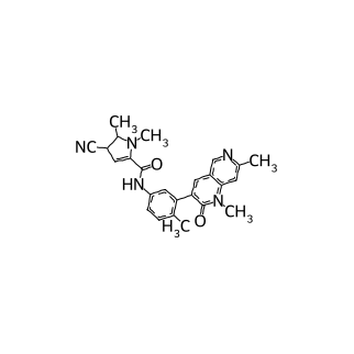 Cc1cc2c(cn1)cc(-c1cc(NC(=O)C3=CC(C#N)C(C)N3C)ccc1C)c(=O)n2C